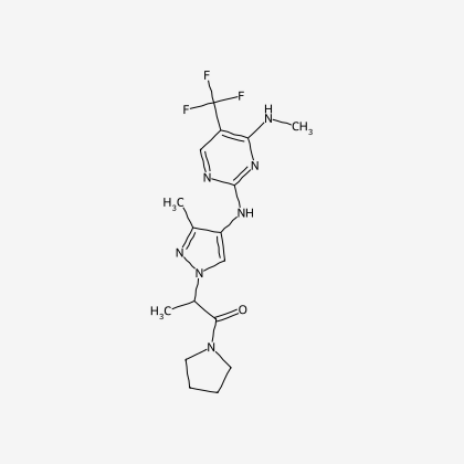 CNc1nc(Nc2cn(C(C)C(=O)N3CCCC3)nc2C)ncc1C(F)(F)F